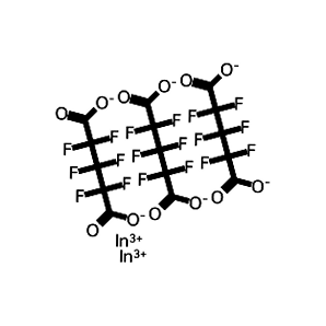 O=C([O-])C(F)(F)C(F)(F)C(F)(F)C(=O)[O-].O=C([O-])C(F)(F)C(F)(F)C(F)(F)C(=O)[O-].O=C([O-])C(F)(F)C(F)(F)C(F)(F)C(=O)[O-].[In+3].[In+3]